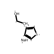 CCO.[NaH].c1ccsc1